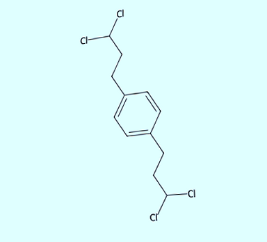 ClC(Cl)CCc1ccc(CCC(Cl)Cl)cc1